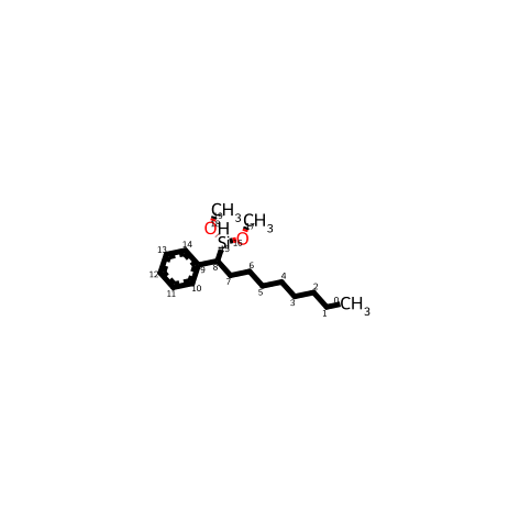 CCCCCCCCC(c1ccccc1)[SiH](OC)OC